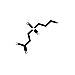 O=C(Cl)CCP(=O)(Cl)CCCCl